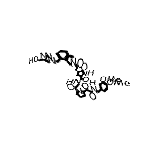 COc1ccc(CNC(=O)C(=O)C2CCCN2C(=O)CNC(=O)C2C[C@@H](CC(=O)N3Cc4cccc(Cn5cc(CO)nn5)c4C3)C(=O)N2)cc1OC